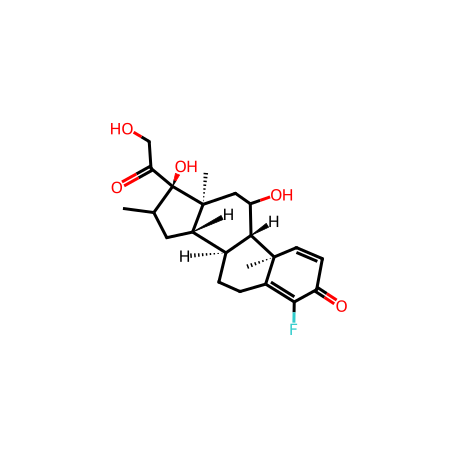 CC1C[C@H]2[C@@H]3CCC4=C(F)C(=O)C=C[C@]4(C)[C@H]3C(O)C[C@]2(C)[C@@]1(O)C(=O)CO